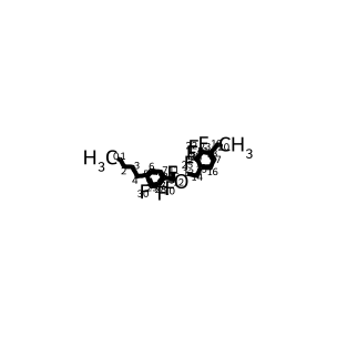 CCCCCc1ccc(C(F)(F)OCCC2=CC=C(CC)C(F)(F)C2(F)F)c(F)c1F